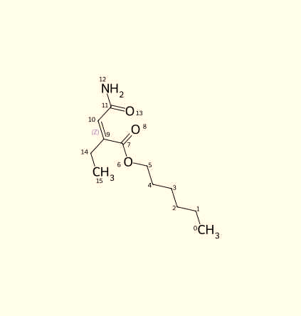 CCCCCCOC(=O)/C(=C\C(N)=O)CC